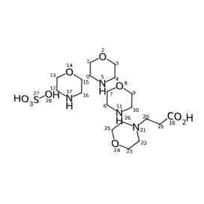 C1COCCN1.C1COCCN1.C1COCCN1.O=C(O)CCN1CCOCC1.O=S(=O)(O)O